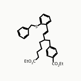 CCOC(=O)CCCCC(/C=C/c1ccccc1SCc1ccccc1)Cc1ccc(C(=O)OCC)cc1